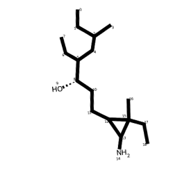 CCC(C)CC(CC)[C@@H](O)CCC1C(N)C1(C)CC